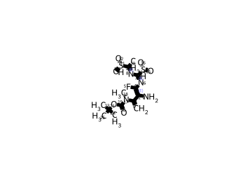 C=C(/C(N)=C(F)/N=C(\N=C(/C)[SH](=O)=O)[SH](=O)=O)N(C)C(=O)OC(C)(C)C